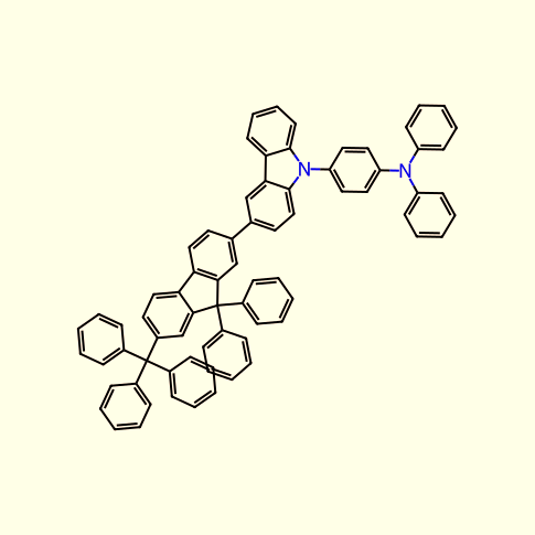 c1ccc(N(c2ccccc2)c2ccc(-n3c4ccccc4c4cc(-c5ccc6c(c5)C(c5ccccc5)(c5ccccc5)c5cc(C(c7ccccc7)(c7ccccc7)c7ccccc7)ccc5-6)ccc43)cc2)cc1